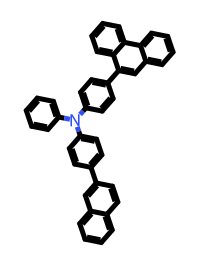 c1ccc(N(c2ccc(-c3ccc4ccccc4c3)cc2)c2ccc(-c3cc4ccccc4c4ccccc34)cc2)cc1